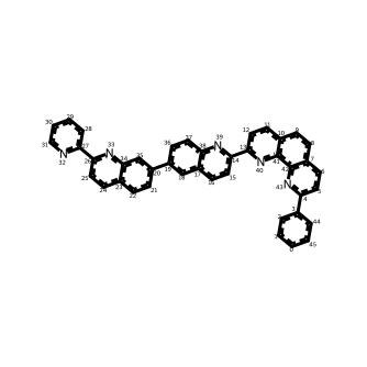 c1ccc(-c2ccc3ccc4ccc(-c5ccc6cc(-c7ccc8ccc(-c9ccccn9)nc8c7)ccc6n5)nc4c3n2)cc1